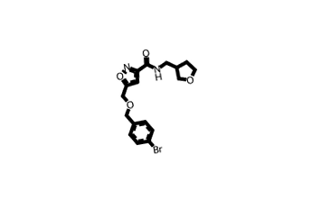 O=C(NCC1CCOC1)c1cc(COCc2ccc(Br)cc2)on1